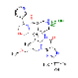 COCCCNc1nc(C(C)(C)C)ncc1C(=O)N(CC(C)C)[C@@H]1CNC[C@H](C(=O)N2CCOCC2c2cccnc2)C1.Cl.Cl.Cl